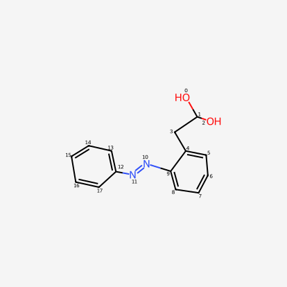 OC(O)Cc1ccccc1N=Nc1ccccc1